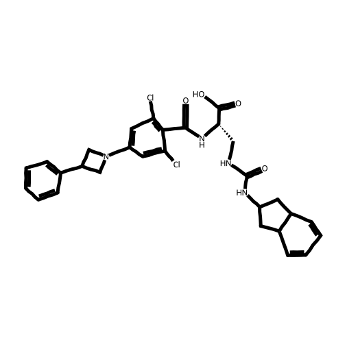 O=C(NC[C@H](NC(=O)c1c(Cl)cc(N2CC(c3ccccc3)C2)cc1Cl)C(=O)O)NC1CC2C=CC=CC2C1